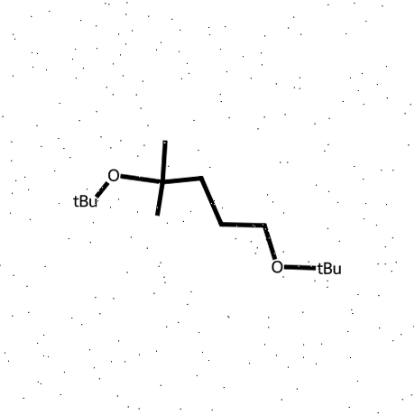 CC(C)(C)OCCCC(C)(C)OC(C)(C)C